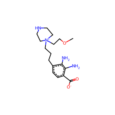 COCC[N+]1(CCCc2ccc(C(=O)[O-])c(N)c2N)CCNCC1